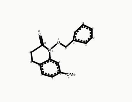 COc1ccc2c(c1)N(OCc1ccccc1)C(=O)CC2